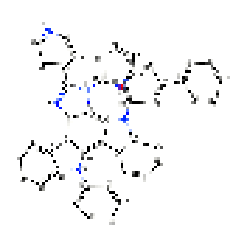 C1=CC2c3c(c4c(nc(-c5ccncc5)n4-c4ccccn4)c4c5ccccc5n(-c5ccccc5)c34)N(c3cccc(-c4ccccc4)c3)C2C=C1